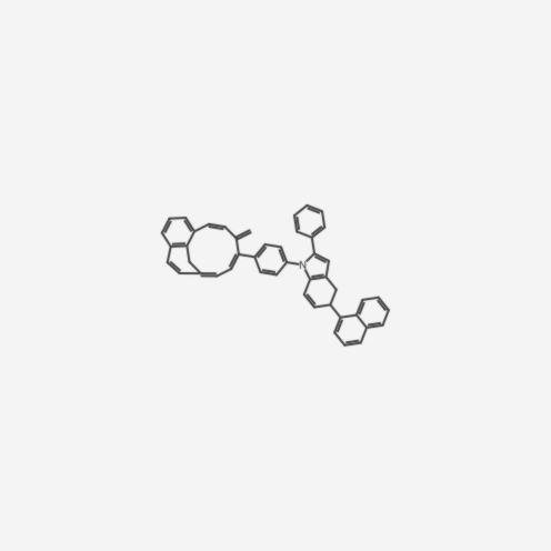 C=C1/C=C\c2cccc3c2C/C(=C\C=C/1c1ccc(-n2c(-c4ccccc4)cc4c2C=CC(c2cccc5ccccc25)C4)cc1)C=C3